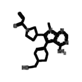 C=CC(=O)N1CCC(c2c(C3=CCC(CO)CC3)c3c(N)ncnc3n2C)C1